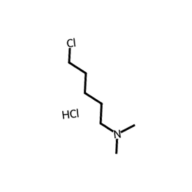 CN(C)CCCCCCl.Cl